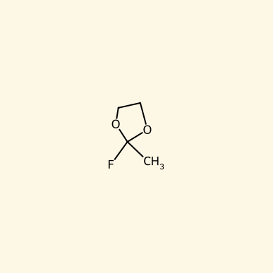 CC1(F)OCCO1